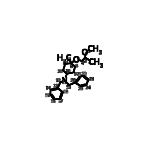 COC(C)CO[C@]1(C)CC[C@@H](N(Cc2ccccc2)Cc2ccccc2)CC1